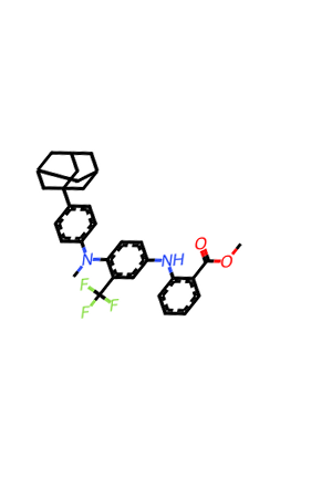 COC(=O)c1ccccc1Nc1ccc(N(C)c2ccc(C34CC5CC(CC(C5)C3)C4)cc2)c(C(F)(F)F)c1